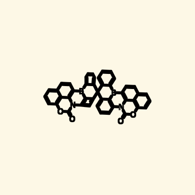 O=C1Oc2cccc3ccc4c(c23)N1c1cccc2c1B4c1ccccc1C21c2ccccc2B2c3ccc4cccc5c4c3N(C(=O)O5)c3cccc1c32